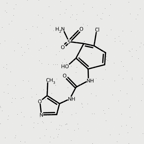 Cc1oncc1NC(=O)Nc1ccc(Cl)c(S(N)(=O)=O)c1O